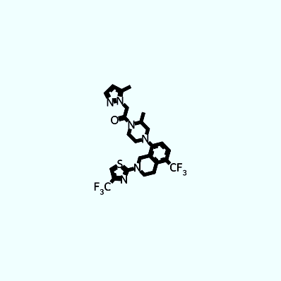 Cc1ccnn1CC(=O)N1CCN(c2ccc(C(F)(F)F)c3c2CN(c2nc(C(F)(F)F)cs2)CC3)CC1C